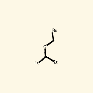 CCC(C)COC(CC)CC